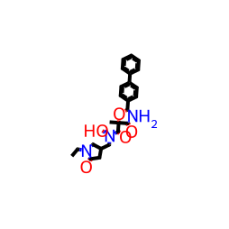 CCN1CC(CN(O)C(=O)C(C)(OCc2ccc(-c3ccccc3)cc2)C(N)=O)CC1=O